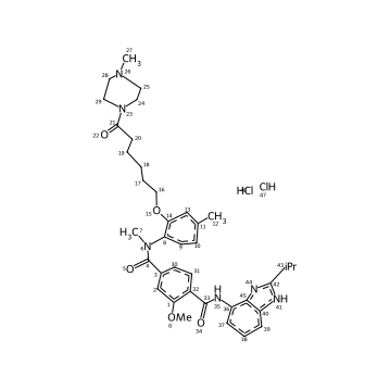 COc1cc(C(=O)N(C)c2ccc(C)cc2OCCCCCC(=O)N2CCN(C)CC2)ccc1C(=O)Nc1cccc2[nH]c(C(C)C)nc12.Cl.Cl